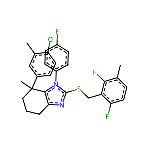 Cc1cc(C2(C)CCCc3nc(SCc4c(F)ccc(C)c4F)n(-c4ccc(F)cc4)c32)ccc1Cl